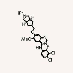 COc1cc2c(Nc3ccc(Cl)c(Cl)c3F)ncnc2cc1OCC1C[C@H]2CN(C(C)C)C[C@@H]2C1